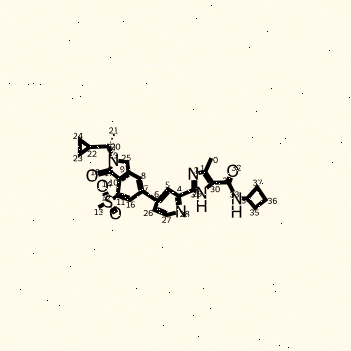 Cc1nc(-c2cc(-c3cc4c(c(S(C)(=O)=O)c3)C(=O)N([C@@H](C)C3CC3)C4)ccn2)[nH]c1C(=O)NC1CCC1